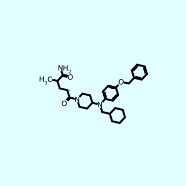 CC(C[CH]C(=O)N1CCC(N(CC2CCCCC2)c2ccc(OCc3ccccc3)cc2)CC1)C(N)=O